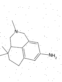 CN1Cc2cc(N)cc3c2C(C1)C(C)(C)CC3